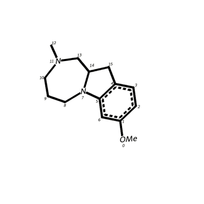 COc1ccc2c(c1)N1CCCN(C)CC1C2